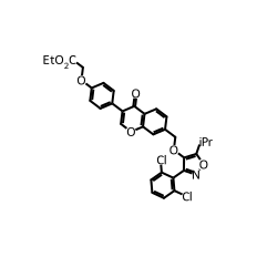 CCOC(=O)COc1ccc(-c2coc3cc(COc4c(-c5c(Cl)cccc5Cl)noc4C(C)C)ccc3c2=O)cc1